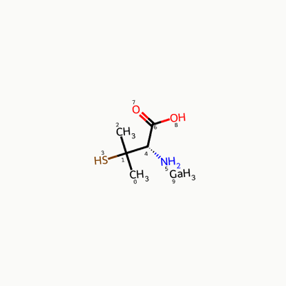 CC(C)(S)[C@@H](N)C(=O)O.[GaH3]